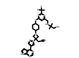 CC(C)(CO)NCc1cc(OC2CCC(N3CC(CC#N)(n4cc(-c5ncnc6[nH]ccc56)cn4)C3)CC2)nc(C(F)(F)F)n1